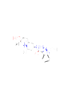 Cn1nc(C(=O)NC2CC3CC4C[C@H](C2)N3C[C@H]4O)c2ccccc21